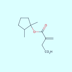 C=C(CC(=O)O)C(=O)OC1(C)CCCC1C